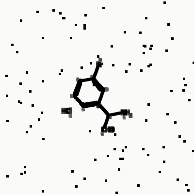 Cl.NC(C=O)c1cccc(Br)c1